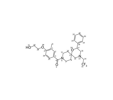 Cc1cc(C(=O)N2CCC3(CC2)CN(CC(F)(F)F)CC(c2ccccc2)O3)ccc1OCCO